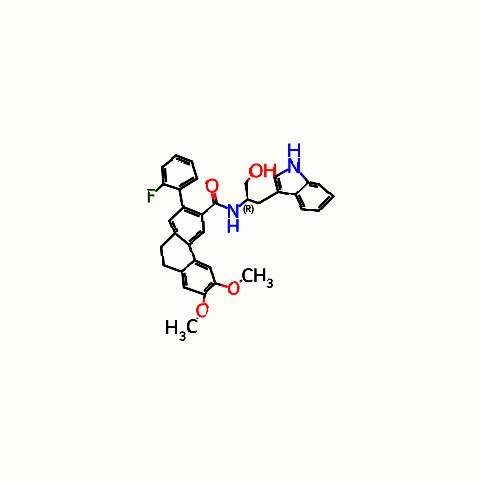 COc1cc2c(cc1OC)-c1cc(C(=O)N[C@@H](CO)Cc3c[nH]c4ccccc34)c(-c3ccccc3F)cc1CC2